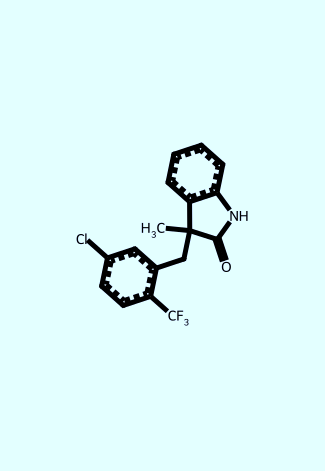 CC1(Cc2cc(Cl)ccc2C(F)(F)F)C(=O)Nc2ccccc21